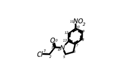 O=C(CCl)N1CCc2ccc([N+](=O)[O-])cc21